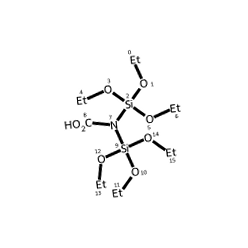 CCO[Si](OCC)(OCC)N(C(=O)O)[Si](OCC)(OCC)OCC